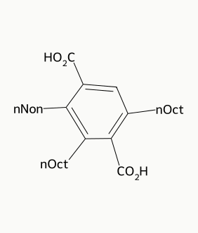 CCCCCCCCCc1c(C(=O)O)cc(CCCCCCCC)c(C(=O)O)c1CCCCCCCC